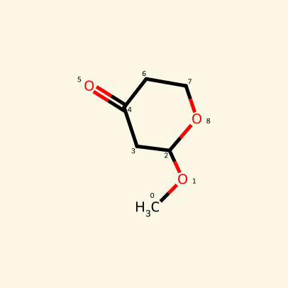 COC1CC(=O)CCO1